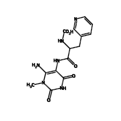 Cn1c(N)c(NC(=O)C(Cc2cccnc2)NC(=O)O)c(=O)[nH]c1=O